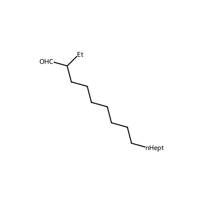 CCCCCCCCCCCCCCC(C=O)CC